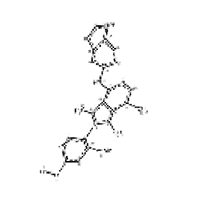 CCOc1ccc(-n2c(C)c3c(C)nnc(Nc4ccc5[nH]ccc5c4)c3c2C)c(OC)c1